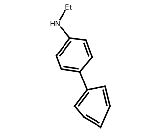 CCNc1ccc(-c2cc[c]cc2)cc1